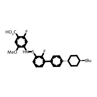 COc1cc(C(=O)O)c(F)cc1NSc1cccc(-c2ccc([C@H]3CC[C@H](C(C)(C)C)CC3)cc2)c1F